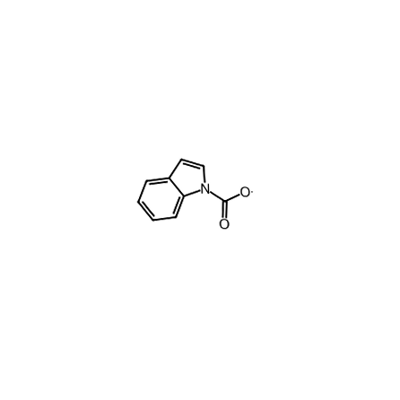 [O]C(=O)n1ccc2ccccc21